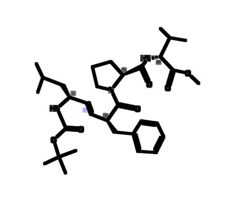 COC(=O)[C@H](NC(=O)[C@@H]1CCCN1C(=O)[C@H](/C=C/[C@H](CC(C)C)NC(=O)OC(C)(C)C)Cc1ccccc1)C(C)C